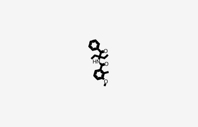 CCC(CC)(NC(=O)c1cccc(OC)c1C)C(=O)c1ccccc1